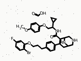 COc1ccc(OCC(NC(=O)C2=C(c3ccc(CCCOc4cc(F)ccc4Br)cc3)CC3CNCC2N3)C2CC2)cc1.O=CO